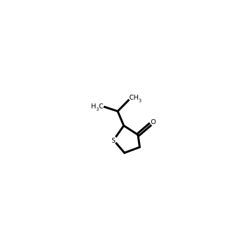 CC(C)C1SCCC1=O